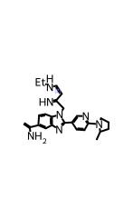 C=C(N)c1ccc2c(c1)nc(-c1ccc(N3CCCC3C)nc1)n2CC(=N)/C=C\NCC